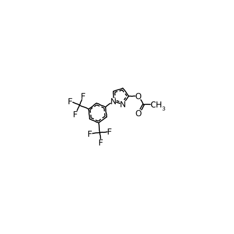 CC(=O)Oc1ccn(-c2cc(C(F)(F)F)cc(C(F)(F)F)c2)n1